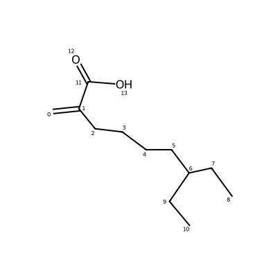 C=C(CCCCC(CC)CC)C(=O)O